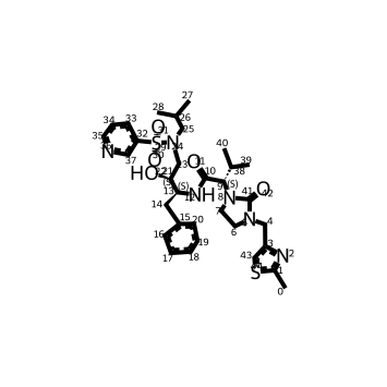 Cc1nc(CN2CCN([C@H](C(=O)N[C@@H](Cc3ccccc3)[C@@H](O)CN(CC(C)C)S(=O)(=O)c3cccnc3)C(C)C)C2=O)cs1